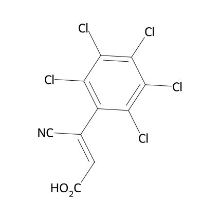 N#CC(=CC(=O)O)c1c(Cl)c(Cl)c(Cl)c(Cl)c1Cl